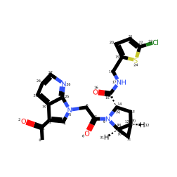 CC(=O)c1cn(CC(=O)N2[C@@H]3C[C@@H]3C[C@H]2C(=O)NCc2ccc(Cl)s2)c2ncccc12